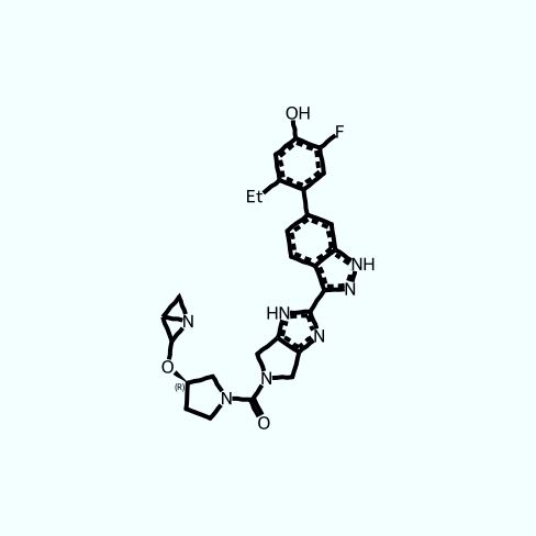 CCc1cc(O)c(F)cc1-c1ccc2c(-c3nc4c([nH]3)CN(C(=O)N3CC[C@@H](OC5C6CN65)C3)C4)n[nH]c2c1